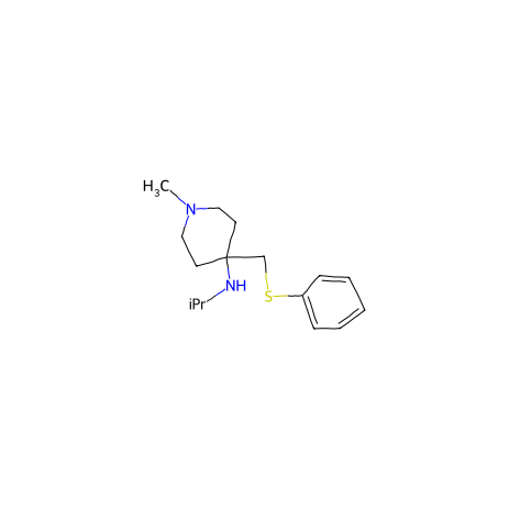 CC(C)NC1(CSc2ccccc2)CCN(C)CC1